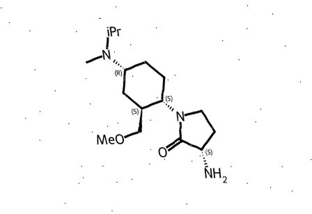 COC[C@H]1C[C@H](N(C)C(C)C)CC[C@@H]1N1CC[C@H](N)C1=O